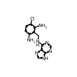 Nc1ccc(Cl)c(N)c1CNc1ncnc2[nH]cnc12